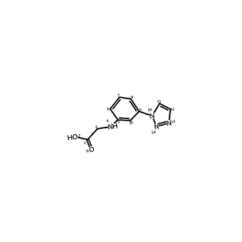 O=C(O)CNc1cccc(-n2ccnn2)c1